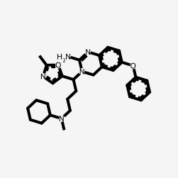 Cc1ncc(C(CCCN(C)C2CCCCC2)N2Cc3cc(Oc4ccccc4)ccc3N=C2N)o1